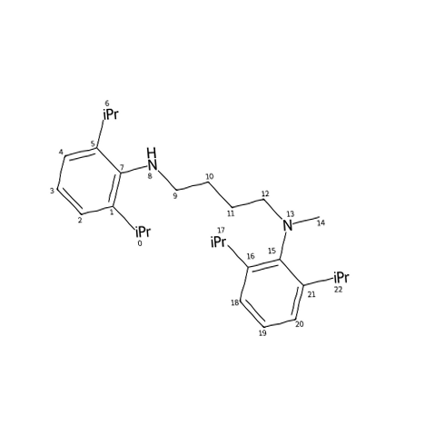 CC(C)c1cccc(C(C)C)c1NCCCCN(C)c1c(C(C)C)cccc1C(C)C